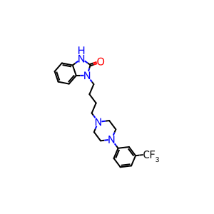 O=c1[nH]c2ccccc2n1CCCCN1CCN(c2cccc(C(F)(F)F)c2)CC1